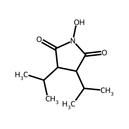 CC(C)C1C(=O)N(O)C(=O)C1C(C)C